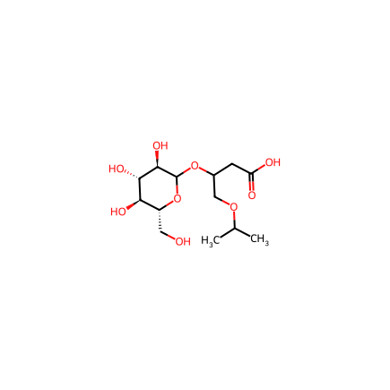 CC(C)OCC(CC(=O)O)OC1O[C@H](CO)[C@@H](O)[C@H](O)[C@H]1O